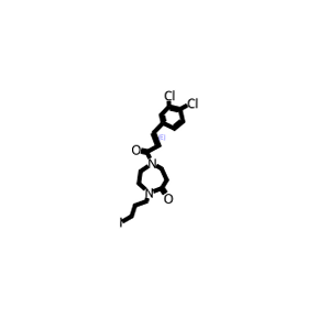 O=C(/C=C/c1ccc(Cl)c(Cl)c1)N1CCC(=O)N(CCCI)CC1